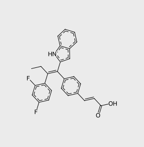 CC/C(=C(/c1ccc(/C=C/C(=O)O)cc1)c1cc2ccccc2[nH]1)c1ccc(F)cc1F